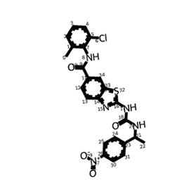 Cc1cccc(Cl)c1NC(=O)c1ccc2nc(NC(=O)NC(C)c3ccc([N+](=O)[O-])cc3)sc2c1